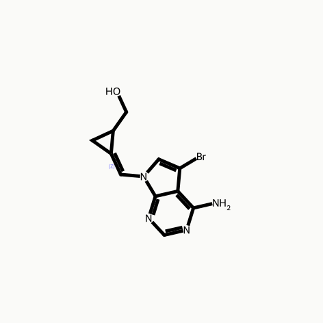 Nc1ncnc2c1c(Br)cn2/C=C1/CC1CO